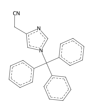 N#CCc1cn(C(c2ccccc2)(c2ccccc2)c2ccccc2)cn1